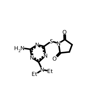 CCN(CC)c1nc(N)nc(SN2C(=O)CCC2=O)n1